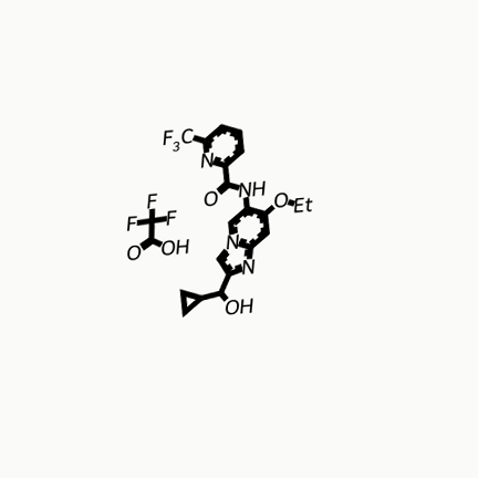 CCOc1cc2nc(C(O)C3CC3)cn2cc1NC(=O)c1cccc(C(F)(F)F)n1.O=C(O)C(F)(F)F